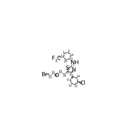 FC(F)(F)c1cccc(Nc2nc(-c3cccc(Cl)c3)c(CCOCCBr)s2)c1